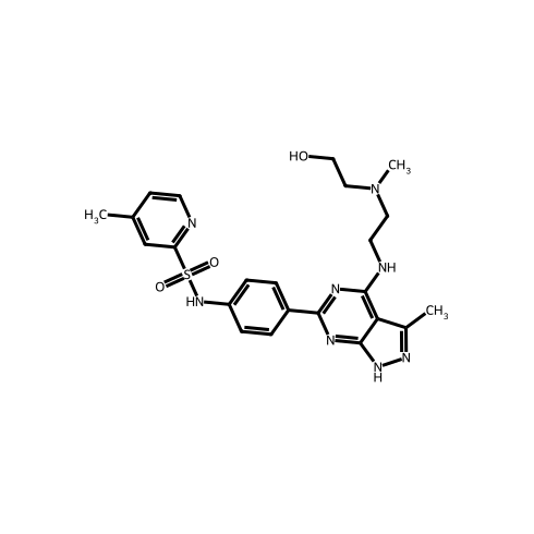 Cc1ccnc(S(=O)(=O)Nc2ccc(-c3nc(NCCN(C)CCO)c4c(C)n[nH]c4n3)cc2)c1